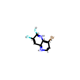 Fc1cc2nccc(Br)c2nc1F